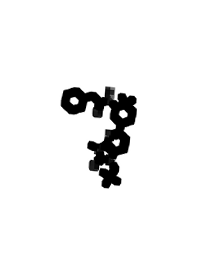 Cn1c(=O)n(CC(C)(C)C)c2ccc(C3CCC(C)(C)C(NC(=O)CC4CCCCC4)C3)nc21